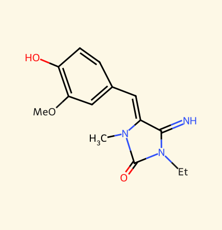 CCN1C(=N)C(=Cc2ccc(O)c(OC)c2)N(C)C1=O